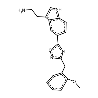 COc1ccccc1Cc1noc(-c2ccc3[nH]cc(CCN)c3c2)n1